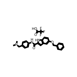 CN(C)Cc1ccc(NC(=O)c2cc3cc(OCc4ccccc4)ccc3[nH]2)cc1.O=C(O)C(F)(F)F